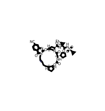 CC[C@@H]1C[C@]1(NC(=O)[C@@H]1C[C@@H]2CN1C(=O)[C@H](C1CCCC1)NC(=O)O[C@@H]1CCC[C@H]1CC/C=C/Cn1c(nc3cc(C#N)ccc3c1=O)O2)C(=O)NS(=O)(=O)C1CC1